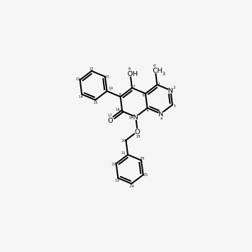 Cc1ncnc2c1c(O)c(-c1ccccc1)c(=O)n2OCc1ccccc1